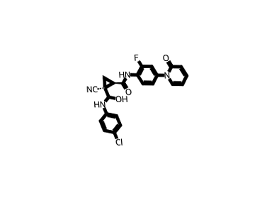 N#C[C@]1(C(O)Nc2ccc(Cl)cc2)C[C@H]1C(=O)Nc1ccc(-n2ccccc2=O)cc1F